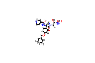 Cc1cc(C)cc(COc2ccc(C3(NC(=O)c4ccncc4)CCN(C(C)C(=O)NO)C3=O)cc2)c1